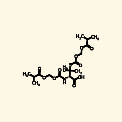 CC(C)C(=O)OCOC(=O)N[C@@H](C(=O)O)C(C)(C)SC(=O)OCOC(=O)C(C)C